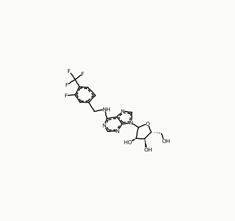 OC[C@H]1OC(n2cnc3c(NCc4ccc(C(F)(F)F)c(F)c4)ncnc32)[C@H](O)[C@@H]1O